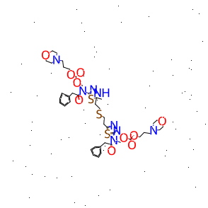 CC1(CCSCCc2nnc(N(COC(=O)OCCCN3CCOCC3)C(=O)Cc3ccccc3)s2)NN=C(N(COC(=O)OCCCN2CCOCC2)C(=O)Cc2ccccc2)S1